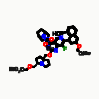 C#Cc1cccc2cc(OCOC)cc(-c3ncc4c(N5CC6CCC(C5)N6C(=O)OC(C)(C)C)nc(OC[C@@]56CCCN5[C@H](COCC(=O)OCC)CC6)nc4c3F)c12